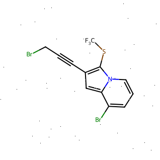 FC(F)(F)Sc1c(C#CCBr)cc2c(Br)cccn12